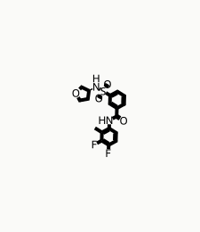 Cc1c(NC(=O)c2cccc(S(=O)(=O)N[C@@H]3CCOC3)c2)ccc(F)c1F